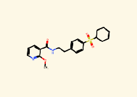 COc1ncccc1C(=O)NCCc1ccc(S(=O)(=O)C2CCCCC2)cc1